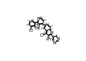 CC(C)c1c(-c2cncnc2)nc2ccc(-c3ccnc(-c4cccc(Cl)c4)c3CO)cc2c1Cl